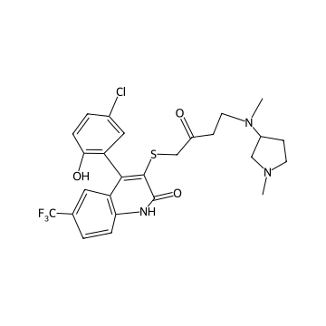 CN1CCC(N(C)CCC(=O)CSc2c(-c3cc(Cl)ccc3O)c3cc(C(F)(F)F)ccc3[nH]c2=O)C1